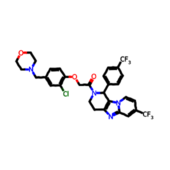 O=C(COc1ccc(CN2CCOCC2)cc1Cl)N1CCc2nc3cc(C(F)(F)F)ccn3c2C1c1ccc(C(F)(F)F)cc1